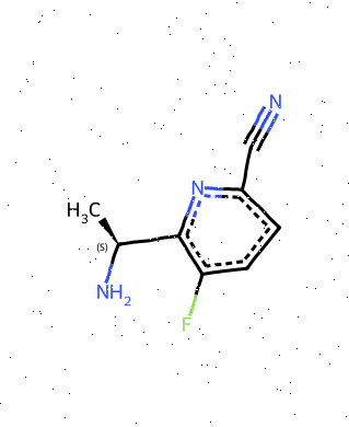 C[C@H](N)c1nc(C#N)ccc1F